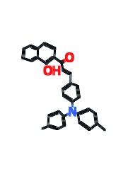 Cc1ccc(N(c2ccc(C)cc2)c2ccc(C=CC(=O)c3ccc4ccccc4c3O)cc2)cc1